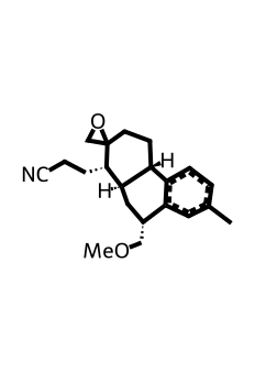 COC[C@@H]1C[C@@H]2[C@H](CCC3(CO3)[C@H]2CCC#N)c2ccc(C)cc21